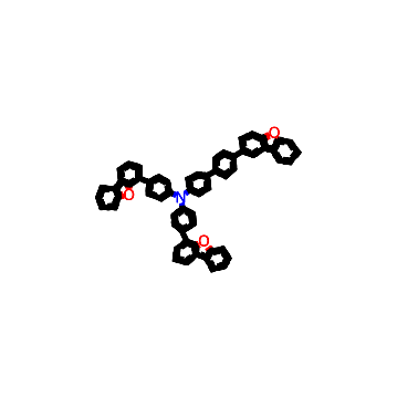 c1ccc2c(c1)oc1ccc(-c3ccc(-c4ccc(N(c5ccc(-c6cccc7c6oc6ccccc67)cc5)c5ccc(-c6cccc7c6oc6ccccc67)cc5)cc4)cc3)cc12